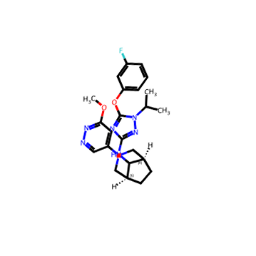 COc1cc(N2C[C@H]3CC[C@@H](C2)C3Nc2nc(Oc3cccc(F)c3)n(C(C)C)n2)cnn1